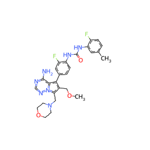 COCc1c(-c2ccc(NC(=O)Nc3cc(C)ccc3F)c(F)c2)c2c(N)ncnn2c1CN1CCOCC1